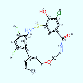 CC/C=C\C1=C/COCCNC(=O)c2cc(Cl)c(O)c(c2)SNc2cc1c(F)cc2F